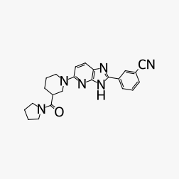 N#Cc1cccc(-c2nc3ccc(N4CCCC(C(=O)N5CCCC5)C4)nc3[nH]2)c1